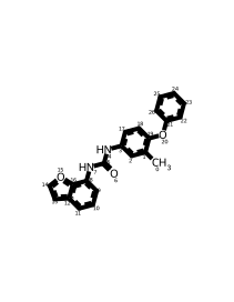 Cc1cc(NC(=O)Nc2cccc3ccoc23)ccc1Oc1ccccc1